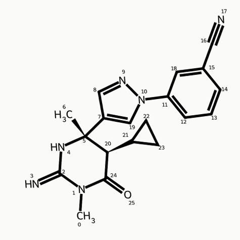 CN1C(=N)N[C@](C)(c2cnn(-c3cccc(C#N)c3)c2)[C@@H](C2CC2)C1=O